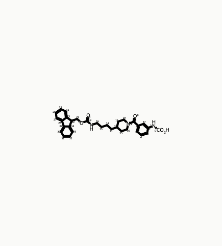 O=C(O)Nc1cccc(C(=O)N2CCC(CCCCNC(=O)OCC3c4ccccc4-c4ccccc43)CC2)c1